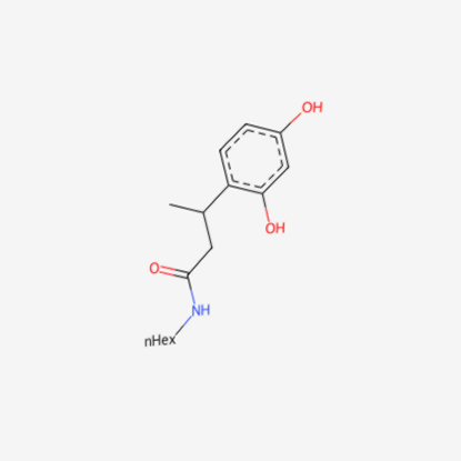 CCCCCCNC(=O)CC(C)c1ccc(O)cc1O